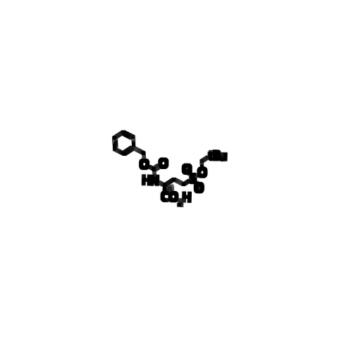 CC(C)(C)COS(=O)(=O)CC[C@H](NC(=O)OCc1ccccc1)C(=O)O